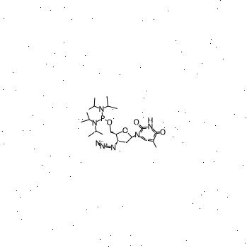 Cc1cn([C@H]2C[C@@H](N=[N+]=[N-])[C@@H](COP(N(C(C)C)C(C)C)N(C(C)C)C(C)C)O2)c(=O)[nH]c1=O